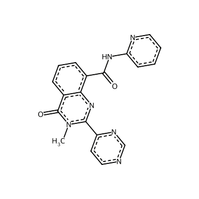 Cn1c(-c2ccncn2)nc2c(C(=O)Nc3ccccn3)cccc2c1=O